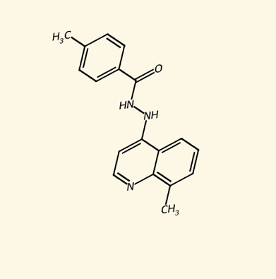 Cc1ccc(C(=O)NNc2ccnc3c(C)cccc23)cc1